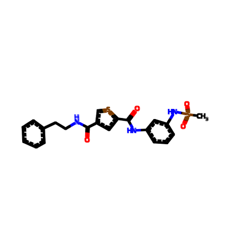 CS(=O)(=O)Nc1cccc(NC(=O)c2cc(C(=O)NCCc3ccccc3)cs2)c1